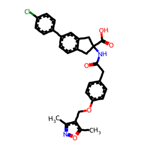 Cc1noc(C)c1COc1ccc(CC(=O)NC2(C(=O)O)Cc3ccc(-c4ccc(Cl)cc4)cc3C2)cc1